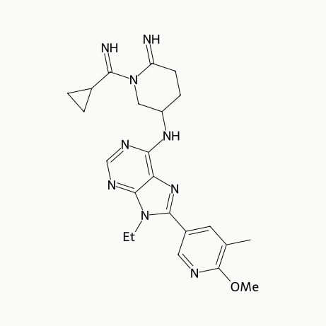 CCn1c(-c2cnc(OC)c(C)c2)nc2c(NC3CCC(=N)N(C(=N)C4CC4)C3)ncnc21